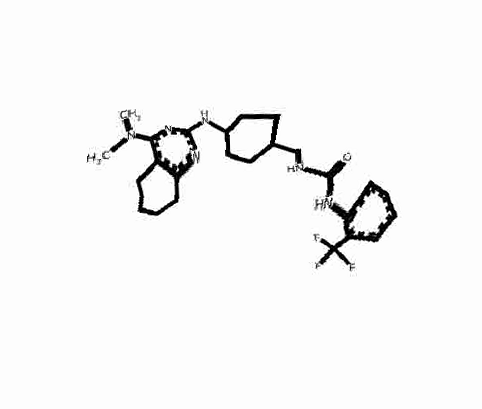 CN(C)c1nc(NC2CCC(CNC(=O)Nc3ccccc3C(F)(F)F)CC2)nc2c1CCCC2